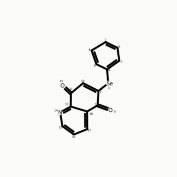 O=C1C([Se]c2ccccc2)=CC(=O)c2ncccc21